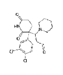 O=CCC(N1CCCCC1)C1(c2ccc(Cl)c(Cl)c2)CCC(=O)NC1=O